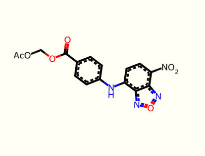 CC(=O)OCOC(=O)c1ccc(Nc2ccc([N+](=O)[O-])c3nonc23)cc1